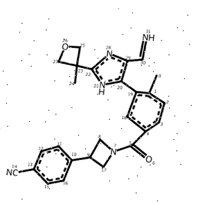 Cc1ccc(C(=O)N2CC(c3ccc(C#N)cc3)C2)cc1-c1[nH]c(C2(C)COC2)nc1C=N